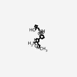 Cc1cc(-c2cc(-c3cccc(S(=O)(=O)NCCC4(CO)CCC4)c3)cnc2N)on1